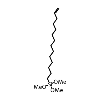 C=CCCCCCCCCCCCC[Si](OC)(OC)OC